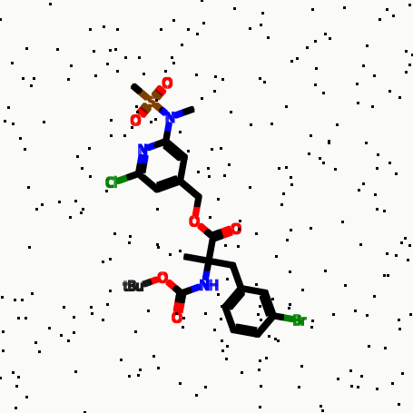 CN(c1cc(COC(=O)C(C)(Cc2cccc(Br)c2)NC(=O)OC(C)(C)C)cc(Cl)n1)S(C)(=O)=O